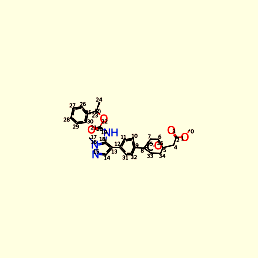 COC(=O)CC12CCC(c3ccc(-c4cnn(C)c4NC(=O)O[C@H](C)c4ccccc4)cc3)(CC1)CO2